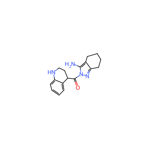 Nc1c2c(nn1C(=O)C1CCNc3ccccc31)CCCC2